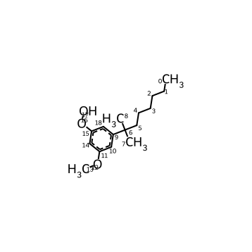 CCCCCCC(C)(C)c1cc(OC)cc(OO)c1